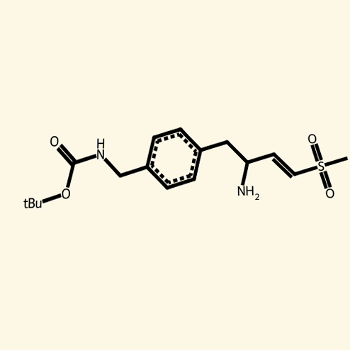 CC(C)(C)OC(=O)NCc1ccc(CC(N)C=CS(C)(=O)=O)cc1